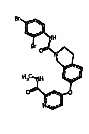 CNC(=O)c1cc(Oc2ccc3c(c2)CN(C(=O)Nc2ccc(Br)cc2Br)CC3)ccn1